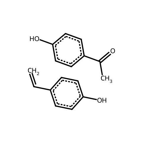 C=Cc1ccc(O)cc1.CC(=O)c1ccc(O)cc1